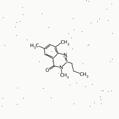 CCCc1nc2c(C)cc(C)cc2c(=O)n1C